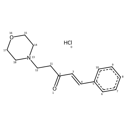 Cl.O=C(C=Cc1ccccc1)CCN1CCOCC1